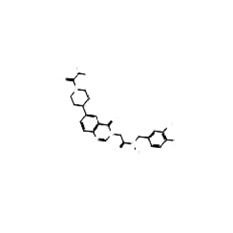 C[C@@H](O)C(=O)N1CCC(c2ccc3ncn(CC(=O)N(C)Cc4ccc(Cl)c(Cl)c4)c(=O)c3c2)CC1